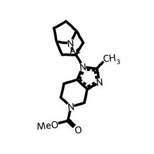 COC(=O)N1CCc2c(nc(C)n2C2CC3CCC(C2)N3C(C)=O)C1